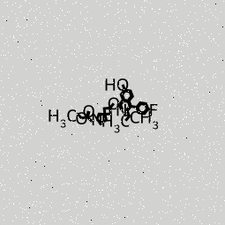 CCOC(=O)CN1CCC2(CC(Oc3nc(C(C)C)c(-c4ccc(F)cc4)c4ccc(O)cc34)C2)C1